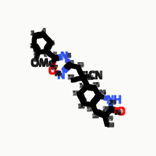 COc1ccccc1-c1nc(CC(C)(C#N)c2ccc3cc(C)c(=O)[nH]c3c2)no1